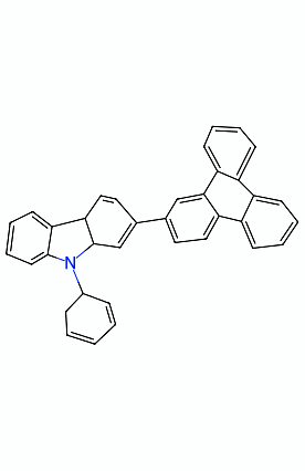 C1=CCC(N2c3ccccc3C3C=CC(c4ccc5c6ccccc6c6ccccc6c5c4)=CC32)C=C1